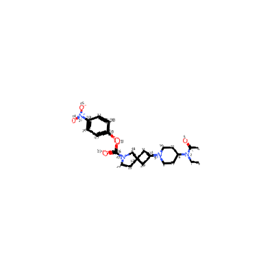 CCN(C(C)=O)C1CCN(C2CC3(CCN(C(=O)Oc4ccc([N+](=O)[O-])cc4)C3)C2)CC1